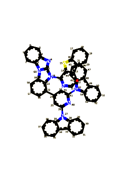 c1ccc2c(c1)nc1n(-c3nccc4c3sc3ccccc34)c3c(-c4cc(-n5c6ccccc6c6ccccc65)nc(-n5c6ccccc6c6ccccc65)c4)cccc3n21